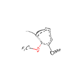 [CH2]c1cccc(OC)c1OC(F)(F)F